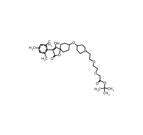 Cc1cc(C)c(C2=C(O)C3(CCC(OC4CCN(CCOCCOCC(=O)OC(C)(C)C)CC4)CC3)OC2=O)c(C)c1